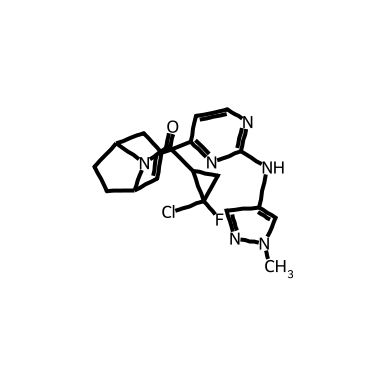 Cn1cc(Nc2nccc(C3=CC4CCC(C3)N4C(=O)C3CC3(F)Cl)n2)cn1